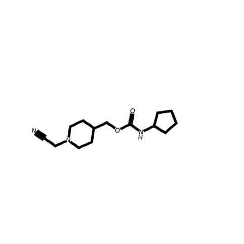 N#CCN1CCC(COC(=O)NC2CCCC2)CC1